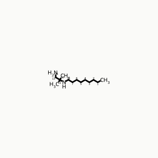 CCCCCCCCCNC(C)(C)CN